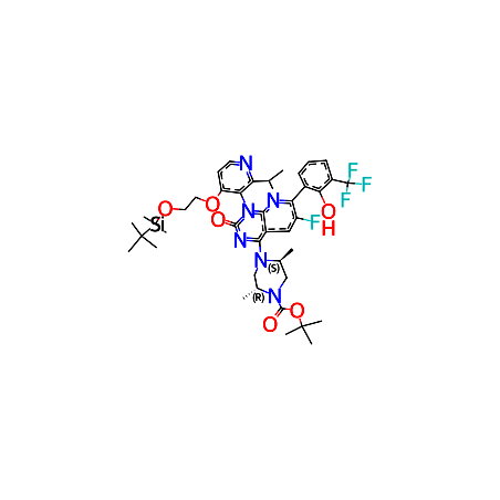 CC(C)c1nccc(OCCO[Si](C)(C)C(C)(C)C)c1-n1c(=O)nc(N2C[C@@H](C)N(C(=O)OC(C)(C)C)C[C@@H]2C)c2cc(F)c(-c3cccc(C(F)(F)F)c3O)nc21